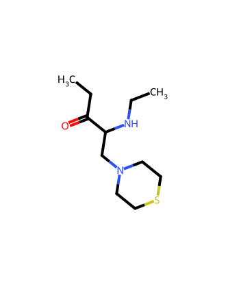 CCNC(CN1CCSCC1)C(=O)CC